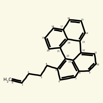 C=CCCCc1ccc2cccc3c4cccc5cccc(c1c23)c54